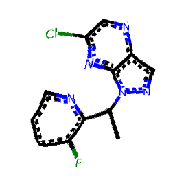 CC(c1ncccc1F)n1ncc2ncc(Cl)nc21